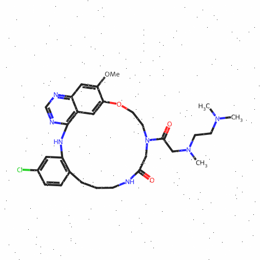 COc1cc2ncnc3c2cc1OCCN(C(=O)CN(C)CCN(C)C)CC(=O)NCCCc1ccc(Cl)cc1N3